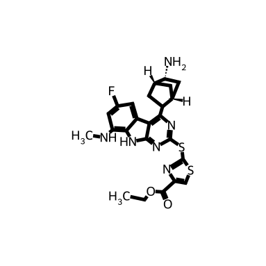 CCOC(=O)c1csc(Sc2nc(C3C[C@H]4C[C@@H]3C[C@H]4N)c3c(n2)[nH]c2c(NC)cc(F)cc23)n1